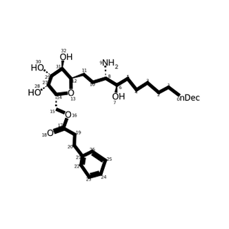 CCCCCCCCCCCCCCC[C@@H](O)[C@@H](N)CC[C@H]1O[C@H](COC(=O)CCc2ccccc2)[C@H](O)[C@H](O)[C@H]1O